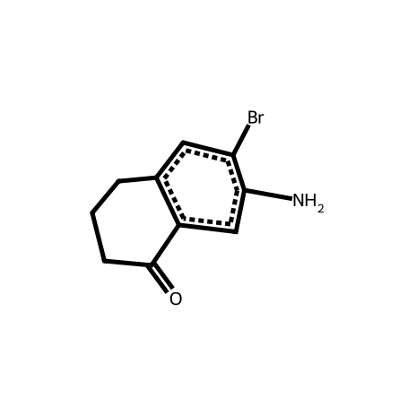 Nc1cc2c(cc1Br)CCCC2=O